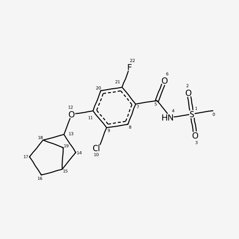 CS(=O)(=O)NC(=O)c1cc(Cl)c(OC2CC3CCC2C3)cc1F